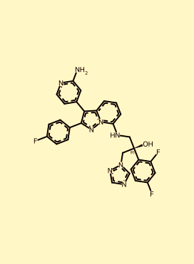 Nc1cc(-c2c(-c3ccc(F)cc3)nn3c(NC[C@@](O)(Cn4cncn4)c4ccc(F)cc4F)cccc23)ccn1